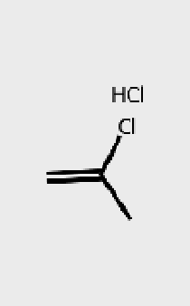 C=C(C)Cl.Cl